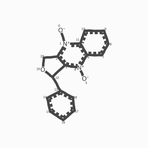 [O-][n+]1c2c([n+]([O-])c3ccccc31)C(c1ccccc1)OC2